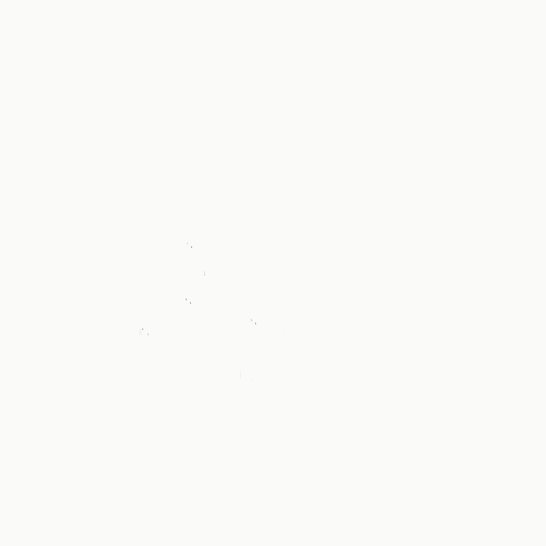 CC1=CN(c2ccccc2O)C(=O)N2C(C(C)N3CCC(Oc4ccc(Cl)cc4)CC3)=CNC12